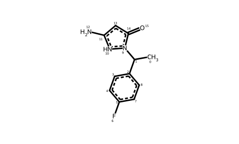 CC(c1ccc(F)cc1)n1[nH]c(N)cc1=O